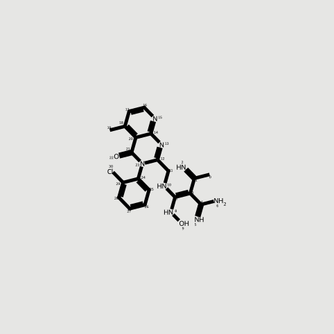 CC(=N)/C(C(=N)N)=C(/NO)NCc1nc2nccc(C)c2c(=O)n1-c1ccccc1Cl